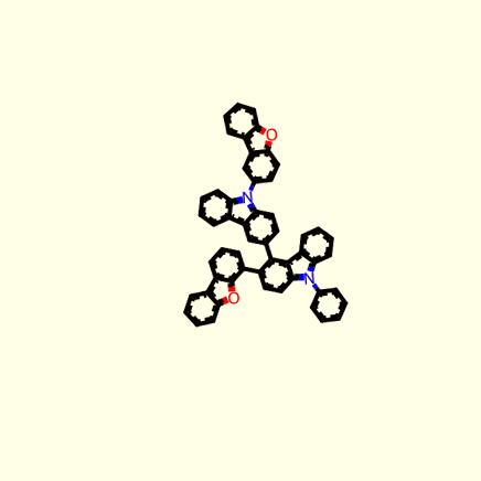 c1ccc(-n2c3ccccc3c3c(-c4ccc5c(c4)c4ccccc4n5-c4ccc5oc6ccccc6c5c4)c(-c4cccc5c4oc4ccccc45)ccc32)cc1